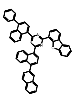 c1ccc(-c2ccc(-c3nc(-c4ccc(-c5ccc6ccccc6c5)c5ccccc45)nc(-c4cccc5c4oc4ccccc45)n3)c3ccccc23)cc1